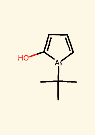 CC(C)(C)[As]1C=CC=C1O